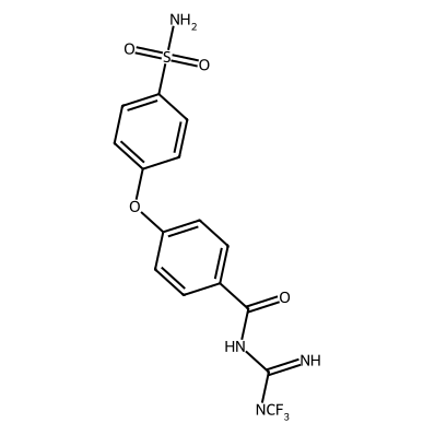 N=C(NC(=O)c1ccc(Oc2ccc(S(N)(=O)=O)cc2)cc1)NC(F)(F)F